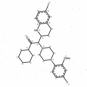 COc1cc(F)ccc1N1CCN(C(C(=O)C2CCCCC2)C2CCc3cc(F)ccc3N2)CC1